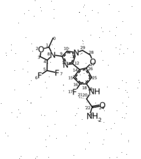 CC1OCC(C(F)F)N1c1cn2c(n1)-c1cc(F)c(N[C@@H](C)C(N)=O)cc1OCC2